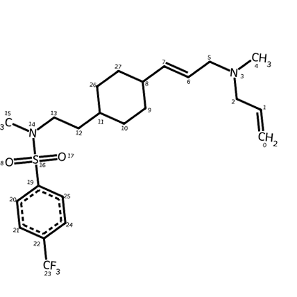 C=CCN(C)CC=CC1CCC(CCN(C)S(=O)(=O)c2ccc(C(F)(F)F)cc2)CC1